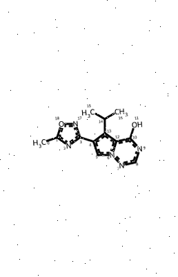 Cc1nc(-c2cn3ncnc(O)c3c2C(C)C)no1